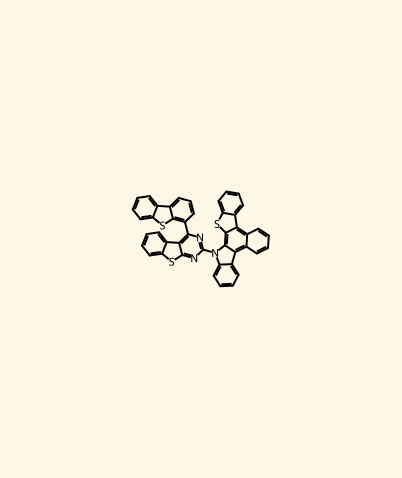 c1ccc2c(c1)sc1c(-c3nc(-n4c5ccccc5c5c6ccccc6c6c7ccccc7sc6c54)nc4sc5ccccc5c34)cccc12